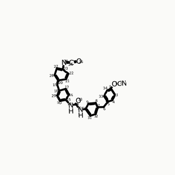 N#COc1ccc(Cc2ccc(NC(=O)Nc3ccc(Cc4ccc(N=C=O)cc4)cc3)cc2)cc1